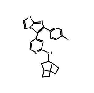 Fc1ccc(-c2nc3occn3c2-c2ccnc(NC3CN4CCC45CCC35)n2)cc1